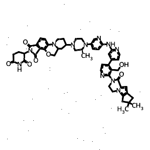 C[C@H]1CN(C2CCN3c4ccc5c(c4OCC3C2)C(=O)N(C2CCC(=O)NC2=O)C5=O)CCN1c1ccc(Nc2cc(-c3ccnc(N4CCn5c(cc6c5CC(C)(C)C6)C4=O)c3CO)ccn2)nc1